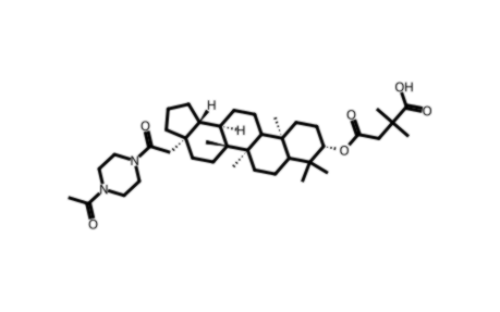 CC(=O)N1CCN(C(=O)C[C@]23CCC[C@@H]2[C@H]2CCC4[C@@]5(C)CC[C@H](OC(=O)CC(C)(C)C(=O)O)C(C)(C)C5CC[C@@]4(C)[C@]2(C)CC3)CC1